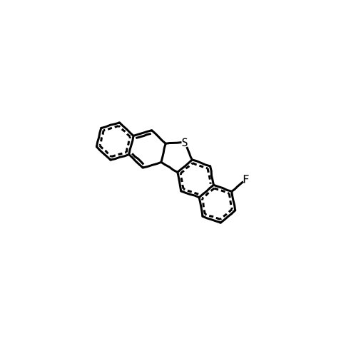 Fc1cccc2cc3c(cc12)SC1C=c2ccccc2=CC31